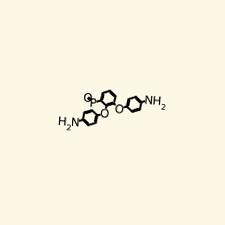 Nc1ccc(Oc2cccc(P=O)c2Oc2ccc(N)cc2)cc1